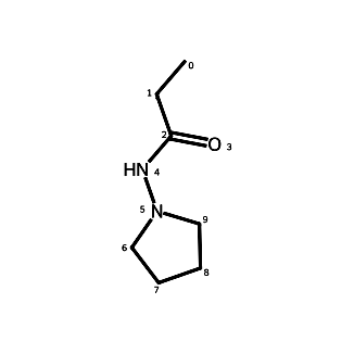 C[CH]C(=O)NN1CCCC1